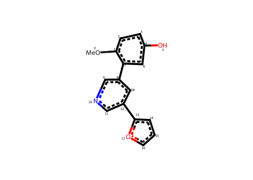 COc1ccc(O)cc1-c1cncc(-c2ccco2)c1